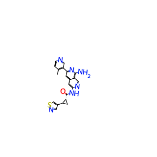 Cc1ccncc1-c1cc2cc(NC(=O)[C@@H]3C[C@H]3c3cnsc3)ncc2c(N)n1